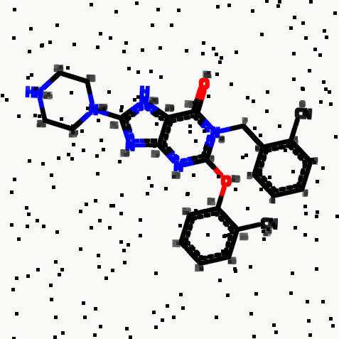 N#Cc1ccccc1Cn1c(Oc2ccccc2C#N)nc2nc(N3CCNCC3)[nH]c2c1=O